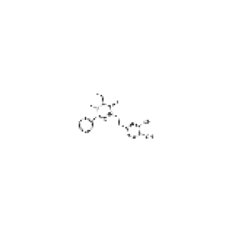 CCC(C(=O)NCCc1ccc(O)c(O)c1)N(C)C(=O)c1ccccc1